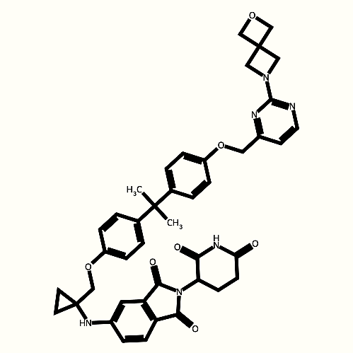 CC(C)(c1ccc(OCc2ccnc(N3CC4(COC4)C3)n2)cc1)c1ccc(OCC2(Nc3ccc4c(c3)C(=O)N(C3CCC(=O)NC3=O)C4=O)CC2)cc1